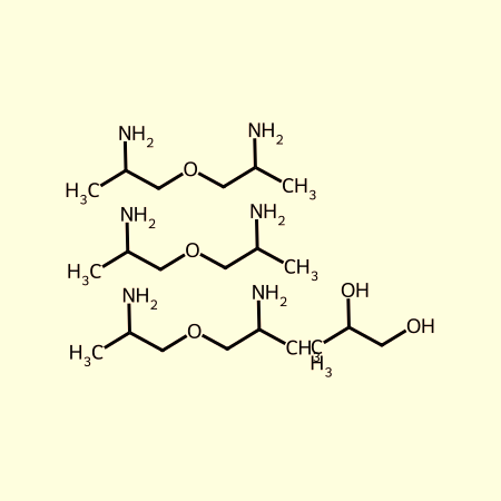 CC(N)COCC(C)N.CC(N)COCC(C)N.CC(N)COCC(C)N.CC(O)CO